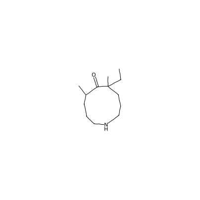 CCC1(C)CCCNCCCC(C)C1=O